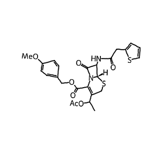 COc1ccc(COC(=O)C2=C(C(C)OC(C)=O)CS[C@H]3C(NC(=O)Cc4cccs4)C(=O)N23)cc1